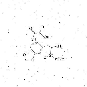 CCCCCCCC[S+]([O-])C(C)Cc1ccc2c(c1)OCO2.CCCCN(CC)C(=O)S